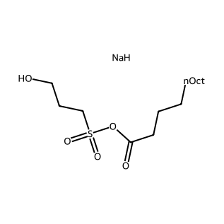 CCCCCCCCCCCC(=O)OS(=O)(=O)CCCO.[NaH]